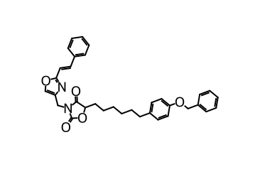 O=C1OC(CCCCCCc2ccc(OCc3ccccc3)cc2)C(=O)N1Cc1coc(C=Cc2ccccc2)n1